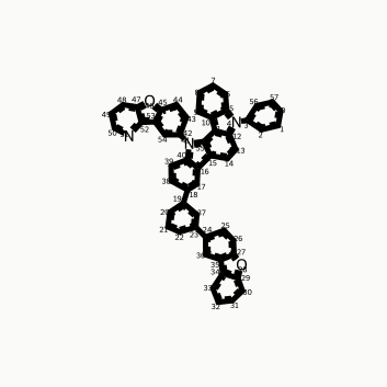 c1ccc(-n2c3ccccc3c3c2ccc2c4cc(-c5cccc(-c6ccc7oc8ccccc8c7c6)c5)ccc4n(-c4ccc5oc6cccnc6c5c4)c23)cc1